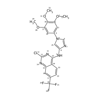 COc1cc(-n2cnc(Nc3nc(Cl)nc4cc(C(F)(F)F)ccc34)c2)cc(OC)c1OC